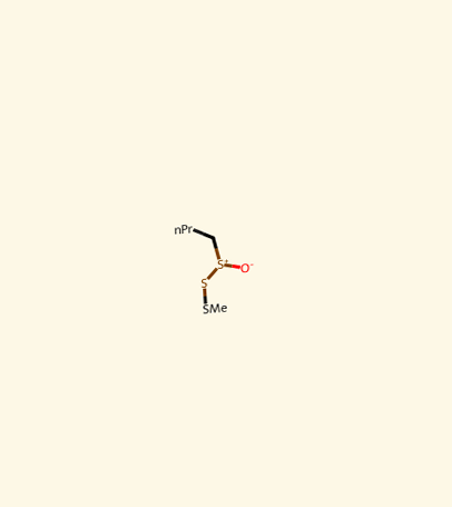 CCCC[S+]([O-])SSC